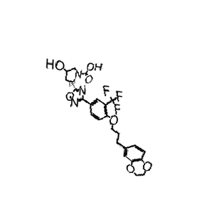 O=C(O)N1CC(O)C[C@H]1c1nc(-c2ccc(OCCCc3ccc4c(c3)OCCO4)c(C(F)(F)F)c2)no1